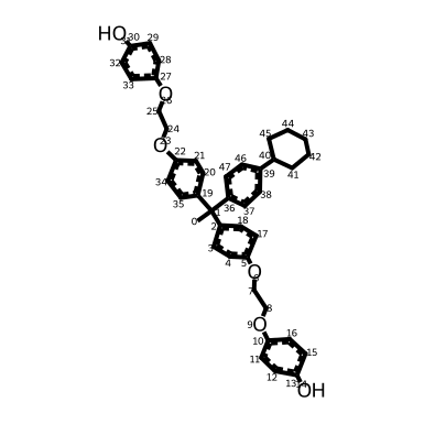 CC(c1ccc(OCCOc2ccc(O)cc2)cc1)(c1ccc(OCCOc2ccc(O)cc2)cc1)c1ccc(C2CCCCC2)cc1